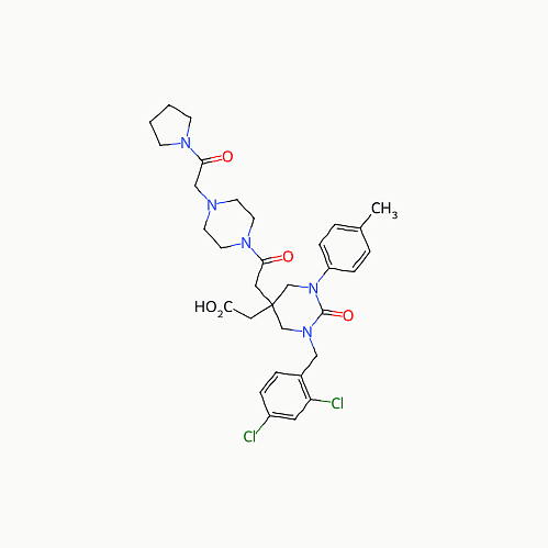 Cc1ccc(N2CC(CC(=O)O)(CC(=O)N3CCN(CC(=O)N4CCCC4)CC3)CN(Cc3ccc(Cl)cc3Cl)C2=O)cc1